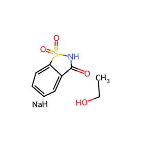 CCO.O=C1NS(=O)(=O)c2ccccc21.[NaH]